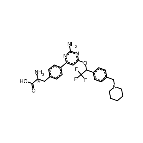 Nc1nc(OC(c2ccc(CN3CCCCC3)cc2)C(F)(F)F)cc(-c2ccc(C[C@H](N)C(=O)O)cc2)n1